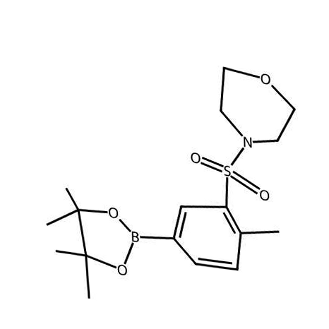 Cc1ccc(B2OC(C)(C)C(C)(C)O2)cc1S(=O)(=O)N1CCOCC1